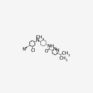 CC(C)c1ccc(C(=O)N[C@H]2CC[C@H](N(C)c3ccc(C#N)c(Cl)c3)CC2)nn1